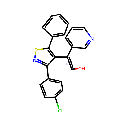 O/C=C(\c1cccnc1)c1c(-c2ccc(Cl)cc2)nsc1-c1ccccc1